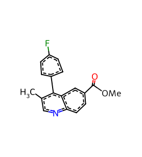 COC(=O)c1ccc2ncc(C)c(-c3ccc(F)cc3)c2c1